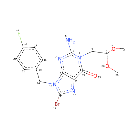 COC(Cn1c(N)nc2c(nc(Br)n2Cc2ccc(F)cc2)c1=O)OC